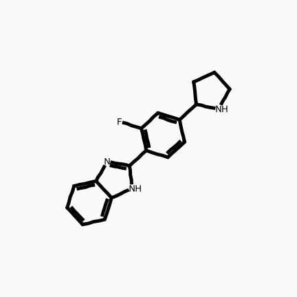 Fc1cc(C2CCCN2)ccc1-c1nc2ccccc2[nH]1